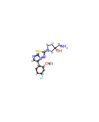 CCOc1cc(F)ccc1-c1cnc2sc(N3CCC(O)(CN)C3)nn12